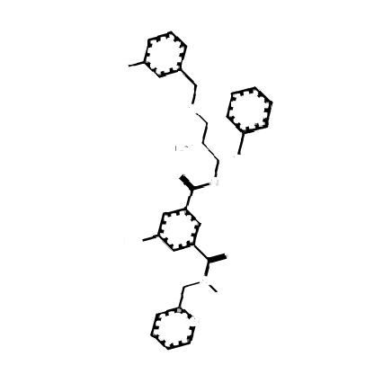 Cc1cc(C(=O)N[C@@H](Cc2ccccc2)[C@H](O)CNCc2cccc(C(F)(F)F)c2)cc(C(=O)N(C)Cc2ccccn2)c1